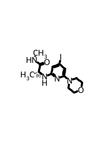 CNC(=O)[C@@H](C)Nc1cc(I)cc(N2CCOCC2)n1